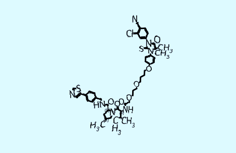 CC(C)[C@H](NC(=O)COCCCOCCCCOc1ccc(N2C(=S)N(c3ccc(C#N)c(Cl)c3)C(=O)C2(C)C)cc1)C(=O)N1C[C@H](C)C[C@H]1C(=O)NCc1ccc(-c2cncs2)cc1